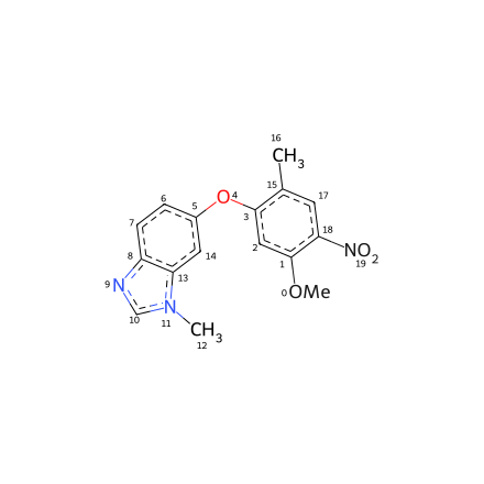 COc1cc(Oc2ccc3ncn(C)c3c2)c(C)cc1[N+](=O)[O-]